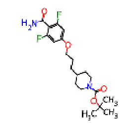 CC(C)(C)OC(=O)N1CCC(CCCOc2cc(F)c(C(N)=O)c(F)c2)CC1